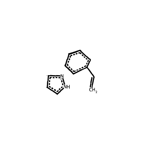 C=Cc1ccccc1.[c]1cc[nH]n1